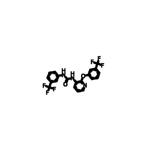 O=C(Nc1cccc(C(F)(F)F)c1)Nc1cccnc1Oc1cccc(C(F)(F)F)c1